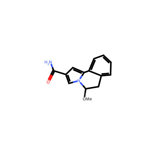 COC1Cc2ccccc2-c2cc(C(N)=O)cn21